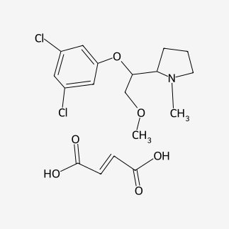 COCC(Oc1cc(Cl)cc(Cl)c1)C1CCCN1C.O=C(O)C=CC(=O)O